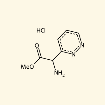 COC(=O)C(N)c1cccnn1.Cl